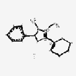 CN1C(c2ccccc2)CC(C2=CCCCC2)=[N+]1C.[I-]